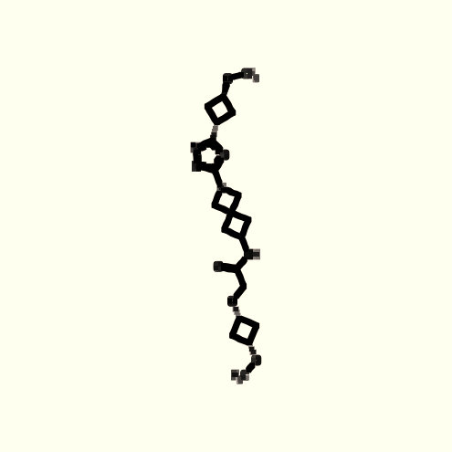 O=C(CO[C@H]1C[C@@H](OC(F)(F)F)C1)NC1CC2(C1)CN(c1nnc([C@H]3C[C@H](OC(F)(F)F)C3)o1)C2